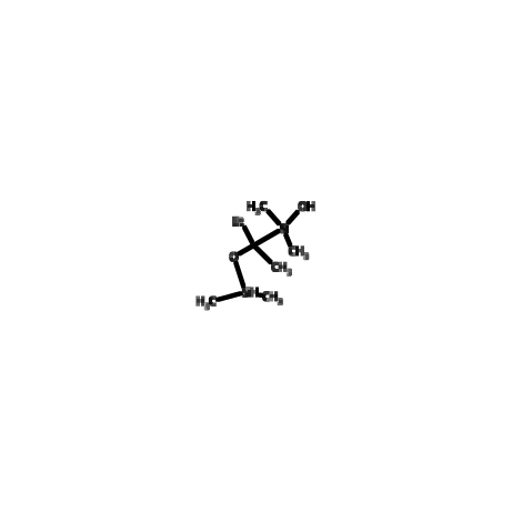 CCC(C)(O[SiH](C)C)[Si](C)(C)O